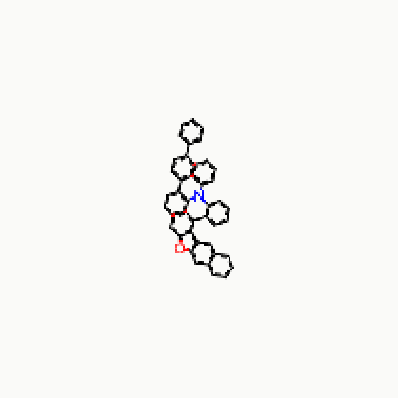 c1ccc(-c2ccc(-c3ccccc3N(c3ccccc3)c3ccccc3-c3cccc4oc5cc6ccccc6cc5c34)cc2)cc1